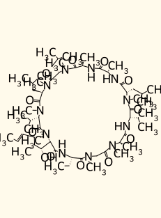 C/C=C/C[C@@H](C)[C@@H](O)[C@H]1C(=O)N[C@@H](CC)C(=O)N(C)CC(=O)N(C)[C@H](C)C(=O)N[C@@H](C(C)C)C(=O)N(C)[C@@H](CC(C)C)C(=O)N[C@@H](C)C(=O)N[C@H](C)C(=O)N(C)[C@@H](CC(C)C)C(=O)N(C)[C@H](CC(C)C)C(=O)N(C)[C@@H](C(C)C)C(=O)N1C